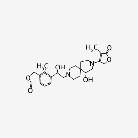 CC1=C(N2CCC3(CCN(C[C@H](O)c4ccc5c(c4C)COC5=O)CC3)[C@@H](O)C2)COC1=O